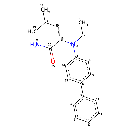 CCN(c1ccc(-c2ccccc2)cc1)[C@@H](CC(C)C)C(N)=O